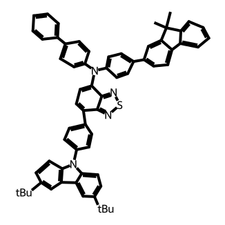 CC(C)(C)c1ccc2c(c1)c1cc(C(C)(C)C)ccc1n2-c1ccc(-c2ccc(N(c3ccc(-c4ccccc4)cc3)c3ccc(-c4ccc5c(c4)C(C)(C)c4ccccc4-5)cc3)c3nsnc23)cc1